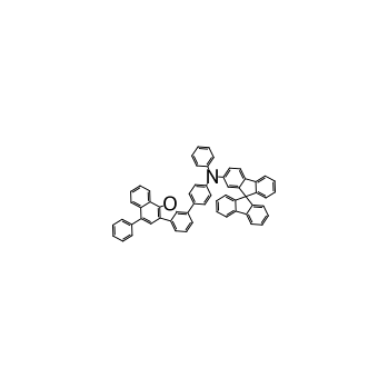 c1ccc(-c2cc3c4cccc(-c5ccc(N(c6ccccc6)c6ccc7c(c6)C6(c8ccccc8-c8ccccc86)c6ccccc6-7)cc5)c4oc3c3ccccc23)cc1